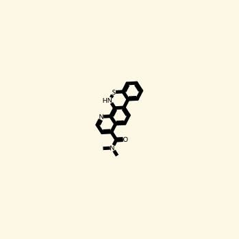 CN(C)C(=O)c1ccnc2c3c(ccc12)-c1ccccc1SN3